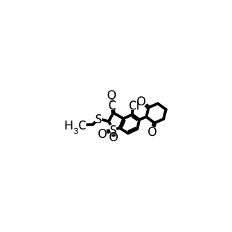 CCSC1C(=C=O)c2c(ccc(C3C(=O)CCCC3=O)c2Cl)S1(=O)=O